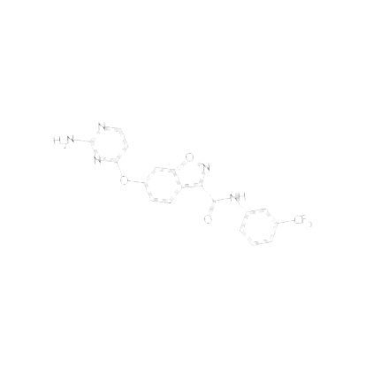 Nc1nccc(Oc2ccc3c(C(=O)Nc4cccc(C(F)(F)F)c4)noc3c2)n1